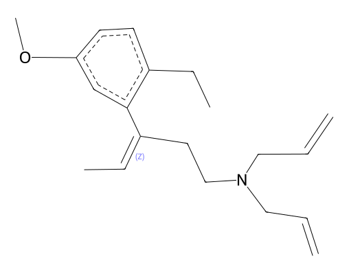 C=CCN(CC=C)CC/C(=C/C)c1cc(OC)ccc1CC